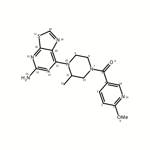 COc1ccc(C(=O)N2CCN(c3nc(N)nc4scnc34)C(C)C2)cn1